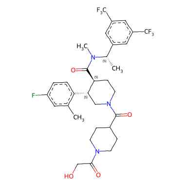 Cc1cc(F)ccc1[C@H]1CN(C(=O)C2CCN(C(=O)CO)CC2)CC[C@@H]1C(=O)N(C)[C@@H](C)c1cc(C(F)(F)F)cc(C(F)(F)F)c1